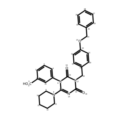 O=C(O)c1cccc(-n2c(N3CCCCC3)nc(=O)n(Cc3ccc(OCc4ccccc4)cc3)c2=O)c1